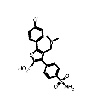 CN(C)Cc1c(-c2ccc(Cl)cc2)sc(C(=O)O)c1-c1ccc(S(N)(=O)=O)cc1